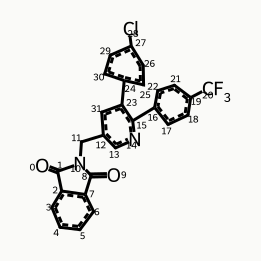 O=C1c2ccccc2C(=O)N1Cc1cnc(-c2ccc(C(F)(F)F)cc2)c(-c2ccc(Cl)cc2)c1